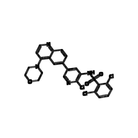 O=S(=O)(Nc1cc(-c2ccc3nccc(N4CCOCC4)c3c2)cnc1Cl)c1c(Cl)cccc1Cl